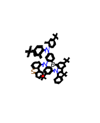 Cc1cc(C(C)(C)C)ccc1N(c1ccc2c(c1)N(c1cccc3sc4ccccc4c13)c1cc(C(C)(C)C)cc3c1B2c1cc(C(C)(C)C)cc2c4c(n-3c12)-c1ccccc1C4(C)C)c1ccc(C(C)(C)C)cc1C